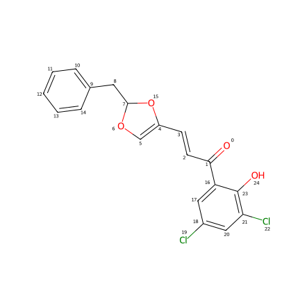 O=C(C=CC1=COC(Cc2ccccc2)O1)c1cc(Cl)cc(Cl)c1O